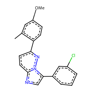 COc1ccc(-c2ccc3ncc(-c4cccc(Cl)c4)n3n2)c(C)c1